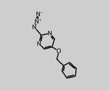 [N-]=[N+]=Nc1ncc(OCc2ccccc2)cn1